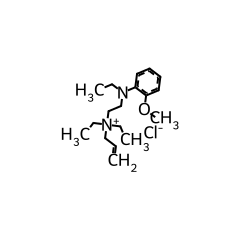 C=CC[N+](CC)(CC)CCN(CC)c1ccccc1OC.[Cl-]